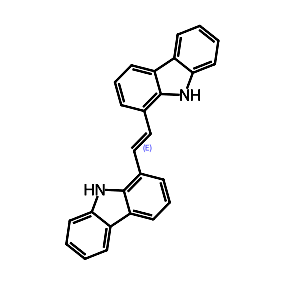 C(=C\c1cccc2c1[nH]c1ccccc12)/c1cccc2c1[nH]c1ccccc12